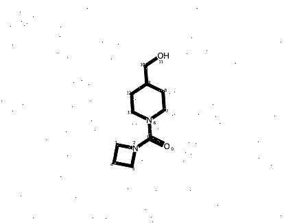 O=C(N1CCC1)N1CCC(CO)CC1